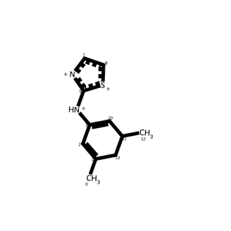 CC1=CC(Nc2nccs2)=CC(C)C1